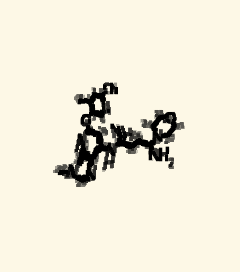 Cc1cc(C#N)ncc1Oc1cc(N/C(N)=C/C=C(\N)N2CCOCC2)c2ncn(C)c2n1